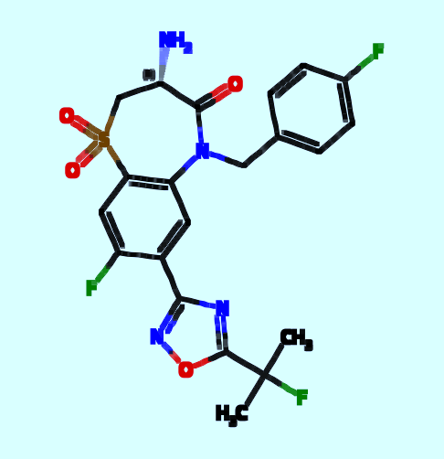 CC(C)(F)c1nc(-c2cc3c(cc2F)S(=O)(=O)C[C@H](N)C(=O)N3Cc2ccc(F)cc2)no1